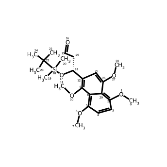 COc1ccc(OC)c2c(OC)c([C@@H](CC=O)O[Si](C)(C)C(C)(C)C)cc(OC)c12